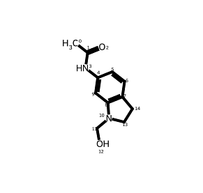 CC(=O)Nc1ccc2c(c1)N(CO)CC2